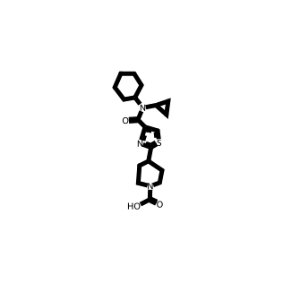 O=C(O)N1CCC(c2nc(C(=O)N(C3CCCCC3)C3CC3)cs2)CC1